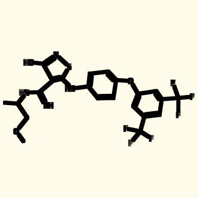 COCC(C)NC(=N)c1c(O)nsc1Nc1ccc(Oc2cc(C(F)(F)F)cc(C(F)(F)F)c2)cc1